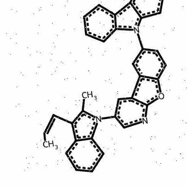 C/C=C\c1c(C)n(-c2cnc3oc4ccc(-n5c6ccccc6c6ccccc65)cc4c3c2)c2ccccc12